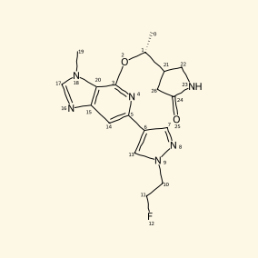 C[C@@H](Oc1nc(-c2cnn(CCF)c2)cc2ncn(C)c12)C1CNC(=O)C1